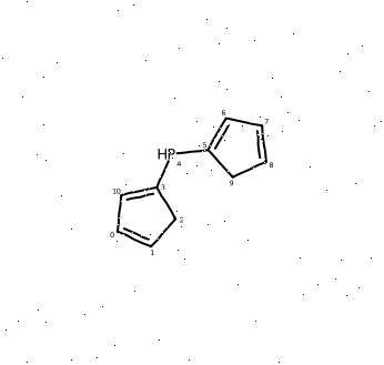 C1=CCC(PC2=CC=CC2)=C1